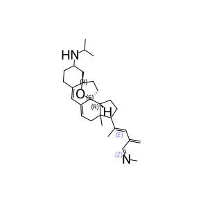 C=C(/C=N\C)/C=C(\C)C1CC[C@@H]2C1(C)CC=C1C=C3CCC(NC(C)C)C[C@]34CC[C@@]12O4